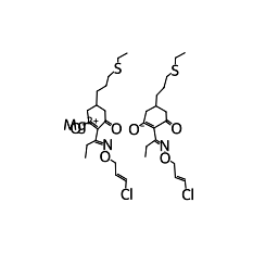 CCSCCCC1CC(=O)C(C(CC)=NOC/C=C/Cl)=C([O-])C1.CCSCCCC1CC(=O)C(C(CC)=NOC/C=C/Cl)=C([O-])C1.[Mg+2]